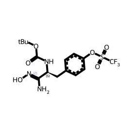 CC(C)(C)OC(=O)N[C@@H](Cc1ccc(OS(=O)(=O)C(F)(F)F)cc1)/C(N)=N/O